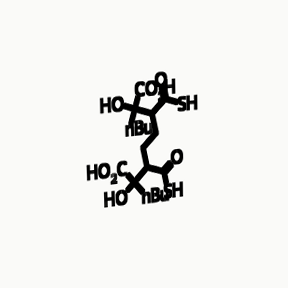 CCCCC(O)(C(=O)O)C(CCC(C(=O)S)C(O)(CCCC)C(=O)O)C(=O)S